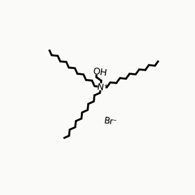 CCCCCCCCCCCC[N+](CCO)(CCCCCCCCCCCC)CCCCCCCCCCCC.[Br-]